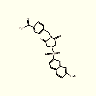 COc1ccc2ccc(S(=O)(=O)N3CC(=O)N(Cc4ccc(C(=N)N)cc4)C(=O)C3)cc2c1